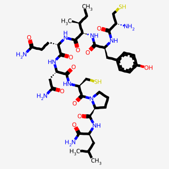 CC[C@H](C)[C@H](NC(=O)[C@H](Cc1ccc(O)cc1)NC(=O)[C@@H](N)CS)C(=O)N[C@@H](CCC(N)=O)C(=O)N[C@@H](CC(N)=O)C(=O)N[C@@H](CS)C(=O)N1CCC[C@H]1C(=O)N[C@@H](CC(C)C)C(N)=O